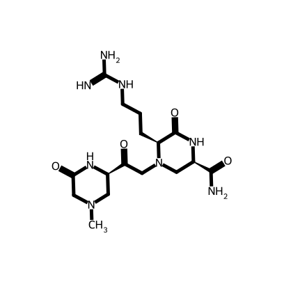 CN1CC(=O)N[C@@H](C(=O)CN2C[C@H](C(N)=O)NC(=O)[C@@H]2CCCNC(=N)N)C1